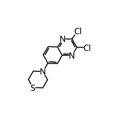 Clc1nc2ccc(N3CCSCC3)cc2nc1Cl